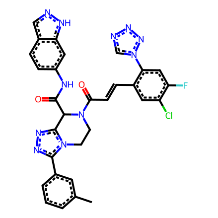 Cc1cccc(-c2nnc3n2CCN(C(=O)C=Cc2cc(Cl)c(F)cc2-n2cnnn2)C3C(=O)Nc2ccc3cn[nH]c3c2)c1